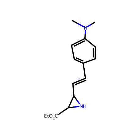 CCOC(=O)C1NC1/C=C/c1ccc(N(C)C)cc1